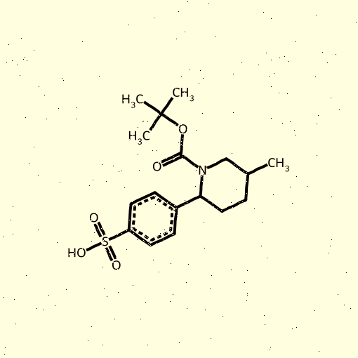 CC1CCC(c2ccc(S(=O)(=O)O)cc2)N(C(=O)OC(C)(C)C)C1